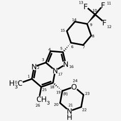 Cc1nc2cc([C@H]3CC[C@H](C(F)(F)F)CC3)nn2c([C@H]2CNCCO2)c1C